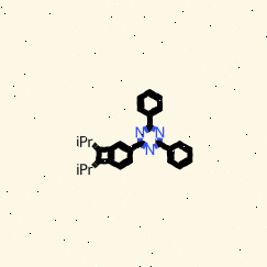 CC(C)C1c2ccc(-c3nc(-c4ccccc4)nc(-c4ccccc4)n3)cc2C1C(C)C